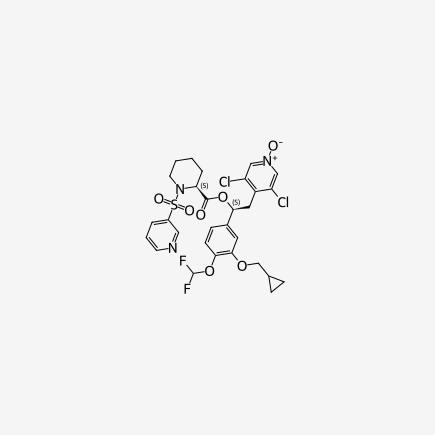 O=C(O[C@@H](Cc1c(Cl)c[n+]([O-])cc1Cl)c1ccc(OC(F)F)c(OCC2CC2)c1)[C@@H]1CCCCN1S(=O)(=O)c1cccnc1